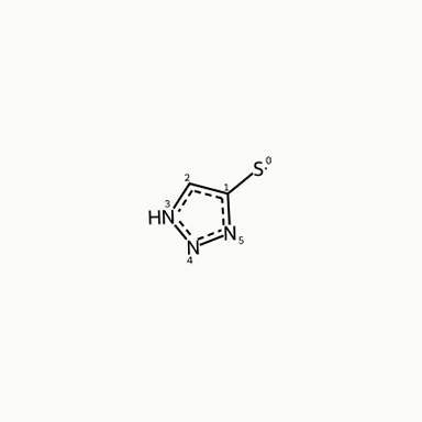 [S]c1c[nH]nn1